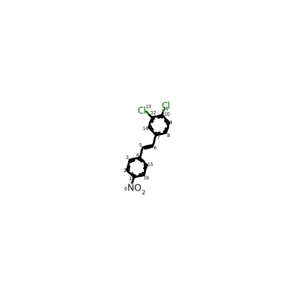 O=[N+]([O-])c1ccc(/C=C/c2ccc(Cl)c(Cl)c2)cc1